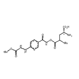 CC(C)(C)OC(=O)NNc1ccc(C(=O)NOC(=O)C(C[C@H](N)C(=O)O)C(C)(C)C)cn1